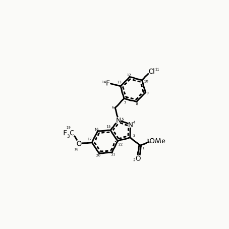 COC(=O)c1nn(Cc2ccc(Cl)cc2F)c2cc(OC(F)(F)F)ccc12